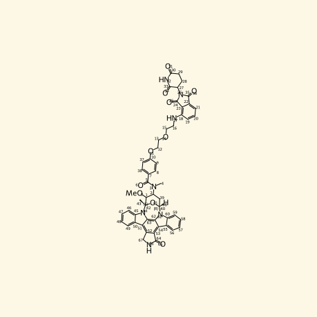 COC1C(N(C)C(=O)c2ccc(OCCOCCNc3cccc4c3C(=O)N(C3CCC(=O)NC3=O)C4=O)cc2)C[C@H]2O[C@]1(C)n1c3ccccc3c3c4c(c5c6ccccc6n2c5c31)C(=O)NC4